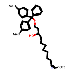 CCCCCCCC/C=C\CCCCCCCC(O)CCOC(c1ccccc1)(c1ccc(OC)cc1)c1ccc(OC)cc1